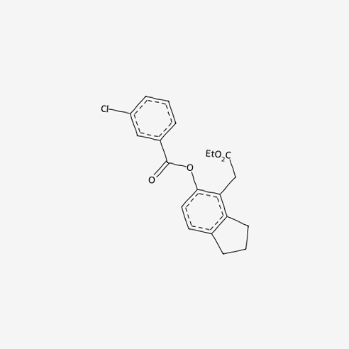 CCOC(=O)Cc1c(OC(=O)c2cccc(Cl)c2)ccc2c1CCC2